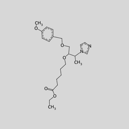 CCOC(=O)CCCCCOC(COCc1ccc(OC)cc1)C(C)n1ccnc1